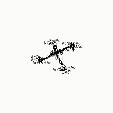 CC(=O)NC1C(OCCOCCNC(=O)CCC(CCC(=O)NCCOCCOC2OC(COC(C)=O)C(OC(C)=O)C(OC(C)=O)C2NC(C)=O)(CCC(=O)NCCOCCOC2OC(COC(C)=O)C(OC(C)=O)C(OC(C)=O)C2NC(C)=O)NC(=O)C2CCC(OP(OCCC#N)N(C(C)C)C(C)C)CC2)OC(COC(C)=O)C(OC(C)=O)C1OC(C)=O